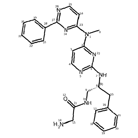 CN(c1ccnc(N[C@@H](CNC(=O)CN)Cc2ccccc2)n1)c1ccnc(-c2ccccc2)n1